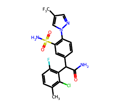 Cc1ccc(F)c(C(C(N)=O)c2ccc(-n3cc(C(F)(F)F)cn3)c(S(N)(=O)=O)c2)c1Cl